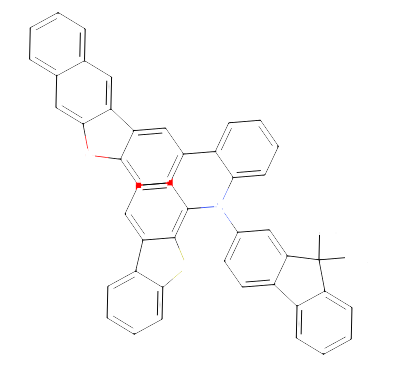 CC1(C)c2ccccc2-c2ccc(N(c3ccccc3-c3ccc4oc5cc6ccccc6cc5c4c3)c3cccc4c3sc3ccccc34)cc21